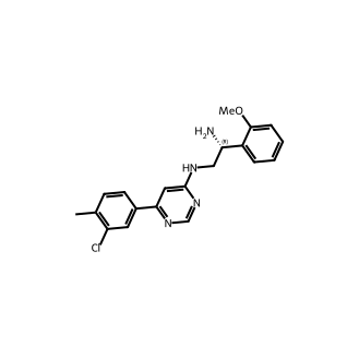 COc1ccccc1[C@@H](N)CNc1cc(-c2ccc(C)c(Cl)c2)ncn1